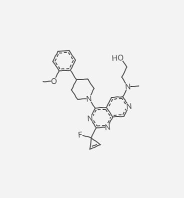 COc1ccccc1C1CCN(c2nc(C3(F)C=C3)nc3cnc(N(C)CCO)cc23)CC1